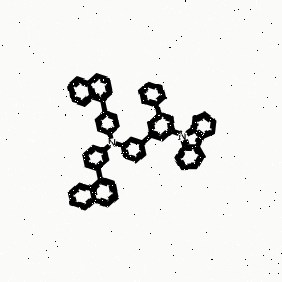 c1ccc(-c2cc(-c3cccc(N(c4ccc(-c5cccc6ccccc56)cc4)c4cccc(-c5cccc6ccccc56)c4)c3)cc(-n3c4ccccc4c4ccccc43)c2)cc1